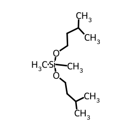 CC(C)CCO[Si](C)(C)OCCC(C)C